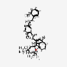 CC1(C)CC(N[C@@H]2[C@@H]3CCC[C@H]2CC(CNc2nc(NCc4ccccc4Cl)ncc2C#N)C3)CC(C)(C)N1